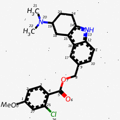 COc1ccc(C(=O)OCc2ccc3[nH]c4c(c3c2)CC(N(C)C)CC4)c(Cl)c1